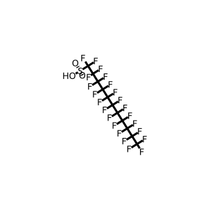 O=S(=O)(O)C(F)(F)C(F)(F)C(F)(F)C(F)(F)C(F)(F)C(F)(F)C(F)(F)C(F)(F)C(F)(F)C(F)(F)C(F)(F)F